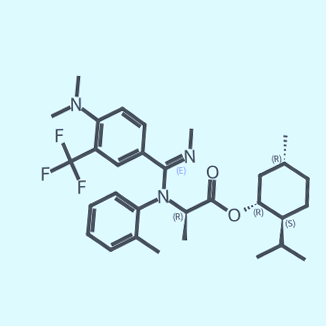 C/N=C(\c1ccc(N(C)C)c(C(F)(F)F)c1)N(c1ccccc1C)[C@H](C)C(=O)O[C@@H]1C[C@H](C)CC[C@H]1C(C)C